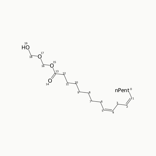 CCCCC/C=C\C/C=C\CCCCCCCC(=O)OCOCO